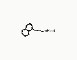 CCCCCCCCCCc1[c]ccc2ccccc12